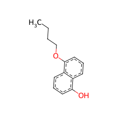 CCCCOc1cccc2c(O)cccc12